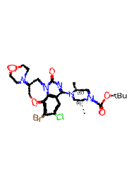 C[C@@H]1CN(c2nc(=O)n3c4c(c(Br)c(Cl)cc24)OCC(N2CCOCC2)C3)[C@@H](C)CN1C(=O)OC(C)(C)C